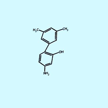 Cc1cc(C)cc(-c2ccc(N)cc2O)c1